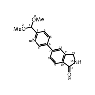 COC(OC)c1ccc(-c2ccc3c(c2)CNC3=O)cn1